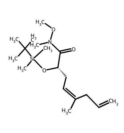 C=CC/C(C)=C\C[C@H](O[Si](C)(C)C(C)(C)C)C(=O)N(C)OC